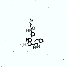 CN(C)CC=CC(=O)Nc1cccc(-c2cnc3[nH]cc(-c4ncncc4CCc4ccccc4)c3c2)c1